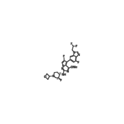 COc1nc(N[C@H]2CCN(C3COC3)C[C@@H]2F)nn2cc(F)c(-c3cc(F)c4ncn(CC(F)F)c4c3)c12